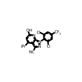 CC(C)c1cc(O)nc2c1c(C#N)nn2-c1c(Cl)cc(C(F)(F)F)cc1Cl